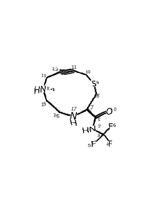 O=C(NC(F)(F)F)C1CSCC#CCNCCN1